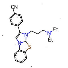 CCN(CC)CCCN1C(c2ccc(C#N)cc2)=CN2c3ccccc3SC12